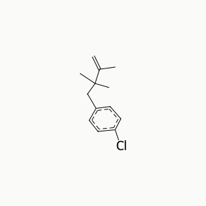 C=C(C)C(C)(C)Cc1ccc(Cl)cc1